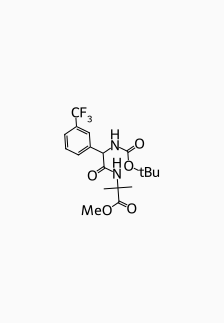 COC(=O)C(C)(C)NC(=O)C(NC(=O)OC(C)(C)C)c1cccc(C(F)(F)F)c1